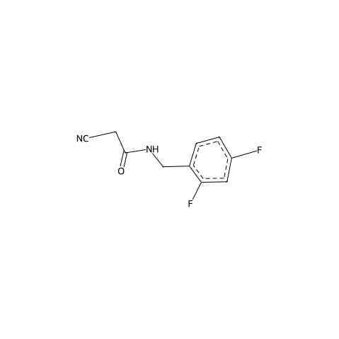 N#CCC(=O)NCc1ccc(F)cc1F